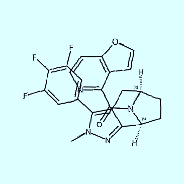 Cn1nc2c(c1-c1cc(F)c(F)c(F)c1)C[C@H]1CC[C@@H]2N1C(=O)c1nccc2occc12